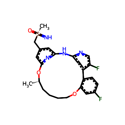 C[C@H]1CCCCOc2cc(F)ccc2-c2cc(ncc2F)Nc2cc(C[S@](C)(=N)=O)cc(n2)O1